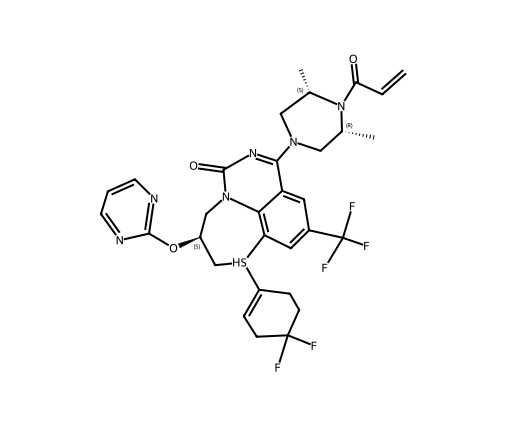 C=CC(=O)N1[C@H](C)CN(c2nc(=O)n3c4c(cc(C(F)(F)F)cc24)[SH](C2=CCC(F)(F)CC2)C[C@@H](Oc2ncccn2)C3)C[C@@H]1C